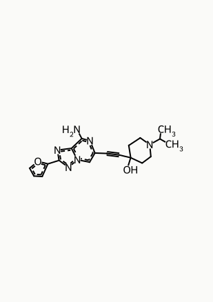 CC(C)N1CCC(O)(C#Cc2cn3nc(-c4ccco4)nc3c(N)n2)CC1